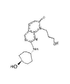 O=c1ccc2cnc(N[C@H]3CC[C@H](O)CC3)nc2n1CCCO